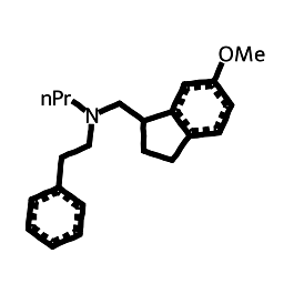 CCCN(CCc1ccccc1)CC1CCc2ccc(OC)cc21